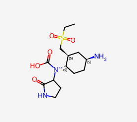 CCS(=O)(=O)C[C@H]1C[C@@H](N)CC[C@@H]1N(C(=O)O)C1CCNC1=O